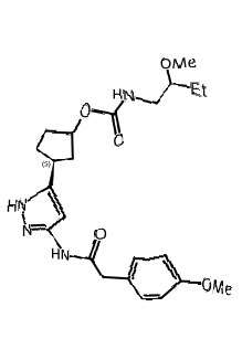 CCC(CNC(=O)OC1CC[C@H](c2cc(NC(=O)Cc3ccc(OC)cc3)n[nH]2)C1)OC